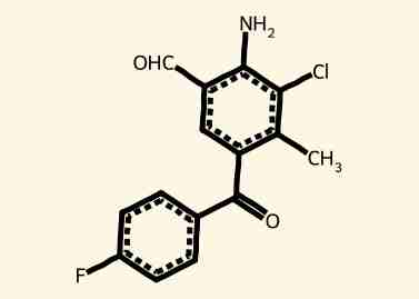 Cc1c(C(=O)c2ccc(F)cc2)cc(C=O)c(N)c1Cl